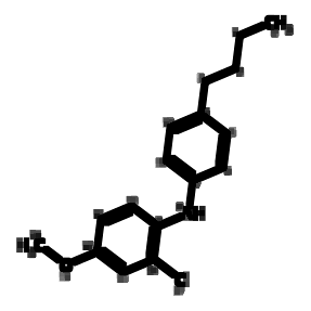 CCCCc1ccc(Nc2ccc(OC)cc2Cl)cc1